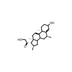 C[C@@H]1CC2C3C[C@H](C)C4=CC(O)CC[C@]4(C)C3=CC[C@]2(C)[C@H]1C(=O)CO